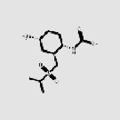 CC(C)S(=O)(=O)C[C@H]1C[C@H](N)CC[C@@H]1NC(=O)O